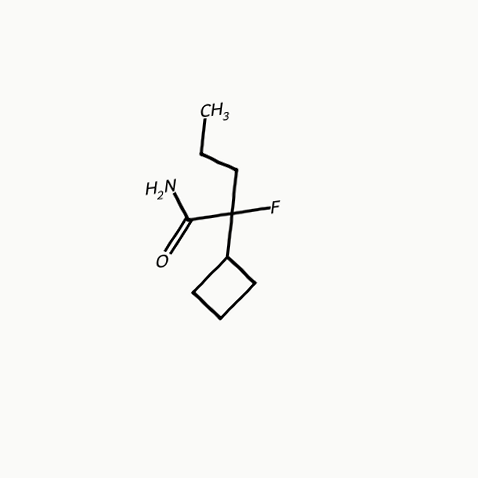 CCCC(F)(C(N)=O)C1CCC1